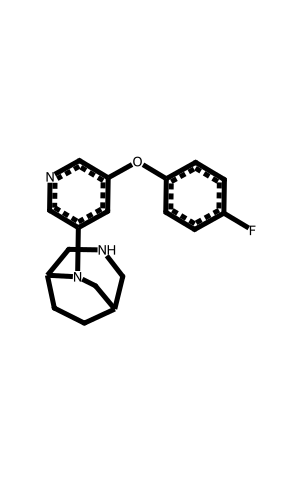 Fc1ccc(Oc2cncc(N3CC4CCC3CNC4)c2)cc1